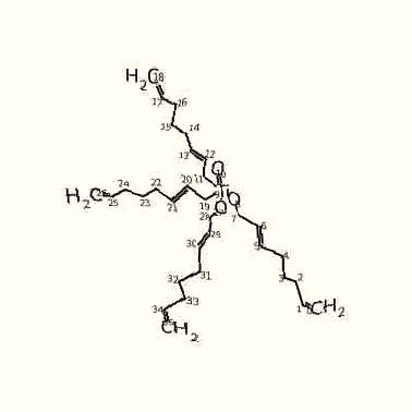 C=CCCCC=CC[O][Ti](=[O])([CH2]C=CCCCC=C)([CH2]C=CCCCC=C)[O]CC=CCCCC=C